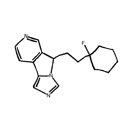 FC1(CCC2c3cnccc3-c3cncn32)CCCCC1